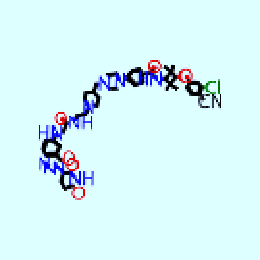 CC1(C)C(NC(=O)c2ccc(N3CCN(CC4CCN(CCNC(=O)CNc5ccc6nnn(C7CCC(=O)NC7=O)c(=O)c6c5)CC4)CC3)cc2)C(C)(C)C1Oc1ccc(C#N)c(Cl)c1